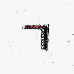 CC(C(=O)O)C(Cl)Cl.ClCCl.ClCCl.ClCCl.ClCCl.ClCCl.ClCCl.ClCCl.ClCCl.ClCCl.ClCCl.ClCCl.ClCCl.ClCCl.ClCCl.ClCCl.ClCCl.ClCCl.ClCCl.ClCCl